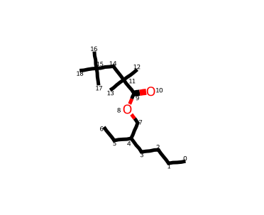 CCCCC(CC)COC(=O)C(C)(C)CC(C)(C)C